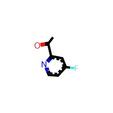 CC(=O)c1cc(F)ccn1